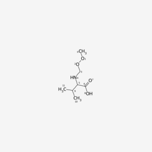 COOCNC(C(=O)O)C(C)C